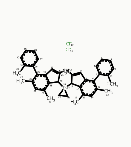 CC1=Cc2c(-c3ccccc3C)c(C)cc(C)c2[CH]1[Zr+2]1([CH]2C(C)=Cc3c(-c4ccccc4C)c(C)cc(C)c32)[CH2][CH2]1.[Cl-].[Cl-]